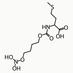 CSCCC(NC(=O)OCCCCON(O)O)C(=O)O